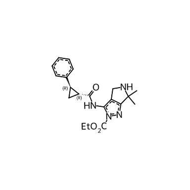 CCOC(=O)n1nc2c(c1NC(=O)[C@@H]1C[C@H]1c1ccccc1)CNC2(C)C